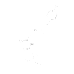 C=C(CCNC(=O)COc1ccc(Cl)cc1)NC(=O)C1CC1(C)C